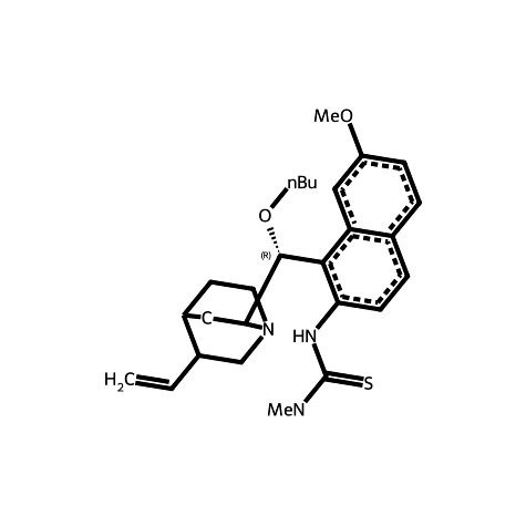 C=CC1CN2CCC1CC2[C@H](OCCCC)c1c(NC(=S)NC)ccc2ccc(OC)cc12